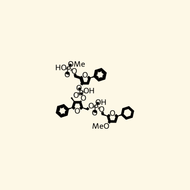 COC1C[C@H](C2CCCCC2)O[C@@H]1COP(=O)(O)OC[C@H]1O[C@@H](c2ccccc2)[C@@H](C)[C@H]1OP(=O)(O)OC1=C(COP(=O)(O)OC)O[C@@H](c2ccccc2)C1